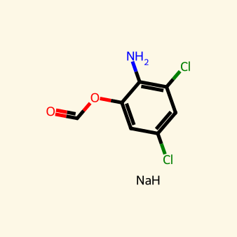 Nc1c(Cl)cc(Cl)cc1OC=O.[NaH]